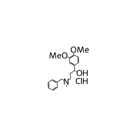 COc1ccc(C(O)CCN(C)Cc2ccccc2)cc1OC.Cl